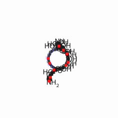 CC1/C=C/C=C/C=C/C=C/C=C/C=C/C=C/C(O[C@@H]2O[C@H](C)[C@@H](O)[C@H](N)[C@@H]2O)CC2OC(O)(CC(O)CC(O)CC(O)CC(O)CC(O)CC(O)CC(=O)OC1C(C)CCC(O)CC(=O)c1ccc(N)cc1)CC(O)C2C(=O)O